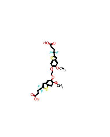 COc1cc2sc(C(F)(F)CCC(=O)O)cc2cc1OCCOc1cc2sc(C(F)(F)CCC(=O)O)cc2cc1OC